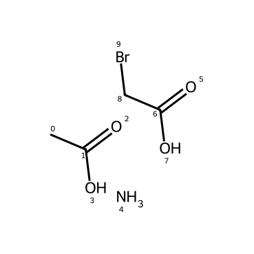 CC(=O)O.N.O=C(O)CBr